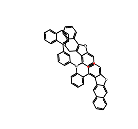 c1cc(-c2cccc3ccccc23)cc(N(c2ccccc2-c2cccc3oc4cc5ccccc5cc4c23)c2cccc3oc4c(c23)CCc2ccccc2-4)c1